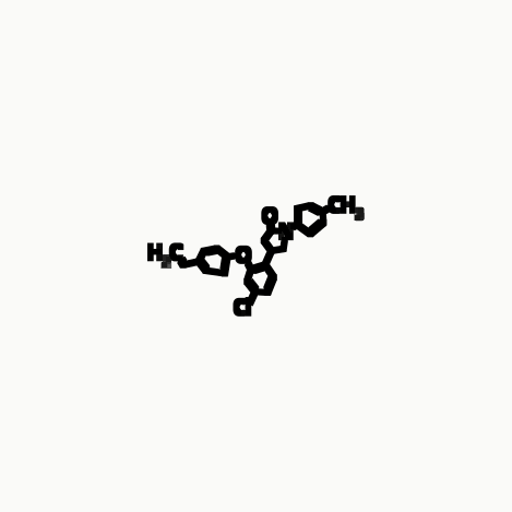 C=Cc1ccc(Oc2cc(Cl)ccc2C2CC(=O)N(c3ccc(C)cc3)C2)cc1